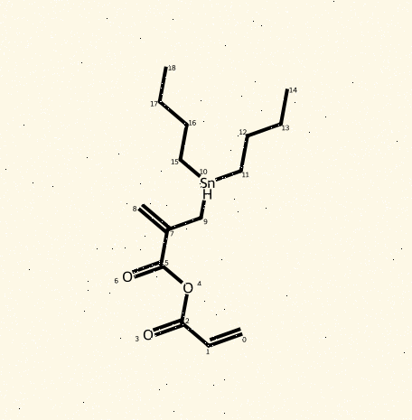 C=CC(=O)OC(=O)C(=C)[CH2][SnH]([CH2]CCC)[CH2]CCC